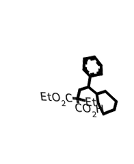 CCOC(=O)C(CC)(CC(c1ccccc1)C1CCCCC1)C(=O)O